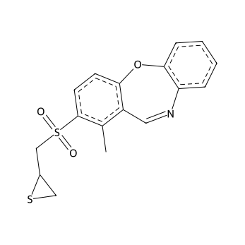 Cc1c(S(=O)(=O)CC2CS2)ccc2c1C=Nc1ccccc1O2